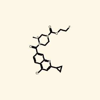 C[C@H]1CN(C(=O)OCCF)CCN1C(=O)c1ccc2c(Cl)cc(C3CC3)nc2c1